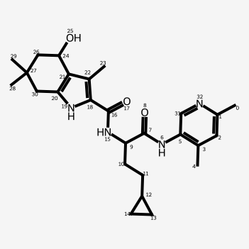 Cc1cc(C)c(NC(=O)C(CCC2CC2)NC(=O)c2[nH]c3c(c2C)C(O)CC(C)(C)C3)cn1